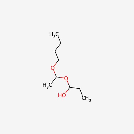 CCCCOC(C)OC(O)CC